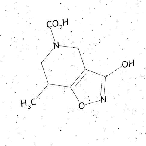 CC1CN(C(=O)O)Cc2c(O)noc21